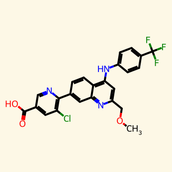 COCc1cc(Nc2ccc(C(F)(F)F)cc2)c2ccc(-c3ncc(C(=O)O)cc3Cl)cc2n1